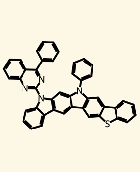 c1ccc(-c2nc(-n3c4ccccc4c4cc5c6cc7sc8ccccc8c7cc6n(-c6ccccc6)c5cc43)nc3ccccc23)cc1